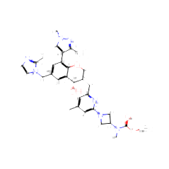 Cc1cc(C[C@@H]2COc3c(-c4cn(C)nc4C(F)(F)F)cc(Cn4ccnc4C)cc3[C@@H]2O)nc(N2CC(N(C)C(=O)OC(C)(C)C)C2)c1